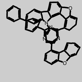 C1=c2oc3ccc4c5ccccc5n(-c5ccccc5)c4c3c2=C(c2nc(-c3ccc(-c4ccccc4)cc3)nc(-c3cccc4oc5ccccc5c34)n2)CC1